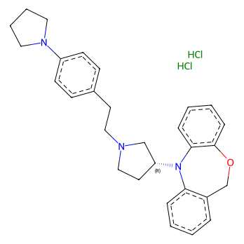 Cl.Cl.c1ccc2c(c1)COc1ccccc1N2[C@@H]1CCN(CCc2ccc(N3CCCC3)cc2)C1